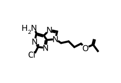 C=C(C)OCCCCn1cnc2c(N)nc(Cl)nc21